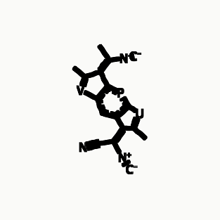 [C-]#[N+]/C(C#N)=C1\[C](C)=[U][c]2pc3[c](cc21)[V]=[C](C)/C3=C(\C)[N+]#[C-]